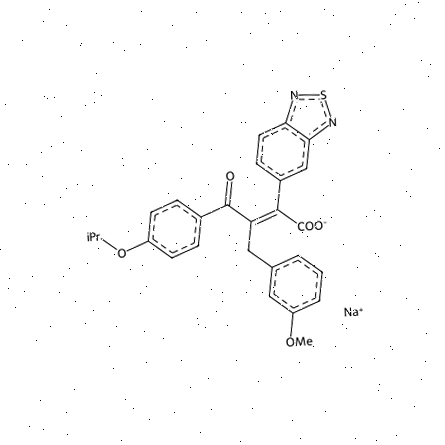 COc1cccc(C/C(C(=O)c2ccc(OC(C)C)cc2)=C(\C(=O)[O-])c2ccc3nsnc3c2)c1.[Na+]